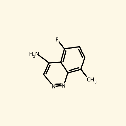 Cc1ccc(F)c2c(N)cnnc12